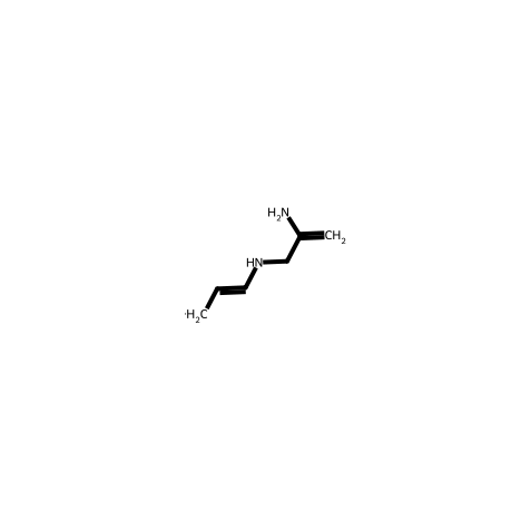 [CH2]C=CNCC(=C)N